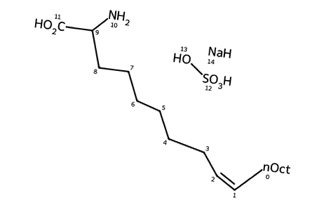 CCCCCCCC/C=C\CCCCCCC(N)C(=O)O.O=S(=O)(O)O.[NaH]